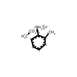 CC(=O)O.Cc1ccccc1N.[Cu]